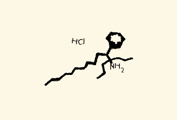 CCCCCCCCCCC(c1ccccc1)C(N)(CCC)CCC.Cl